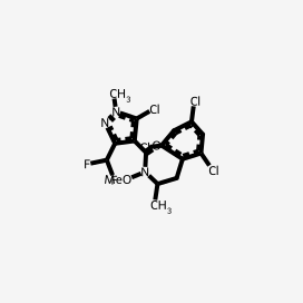 CON(C(=O)c1c(C(F)F)nn(C)c1Cl)C(C)Cc1c(Cl)cc(Cl)cc1Cl